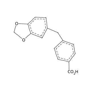 O=C(O)c1ccc(Cc2ccc3c(c2)OCO3)cc1